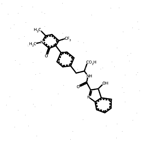 Cc1cc(C(F)(F)F)c(-c2ccc(CC(NC(=O)C3=Nc4ccccc4C3O)C(=O)O)cc2)c(=O)n1C